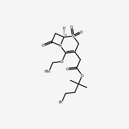 CC(C)(C)COC1=C(CC(=O)OC(C)(C)CCBr)CS(=O)(=O)[C@@H]2CC(=O)N12